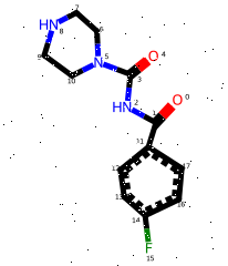 O=C(NC(=O)N1CCNCC1)c1ccc(F)cc1